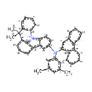 Cc1cc(C)cc(N(c2ccc3c(c2)c2cccc4c2n3-c2ccccc2C4(C)C)c2cc3ccccc3c3ccccc23)c1